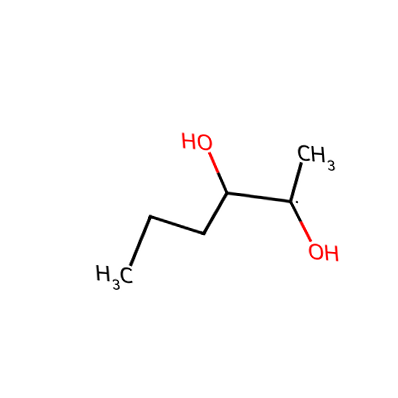 CCCC(O)[C](C)O